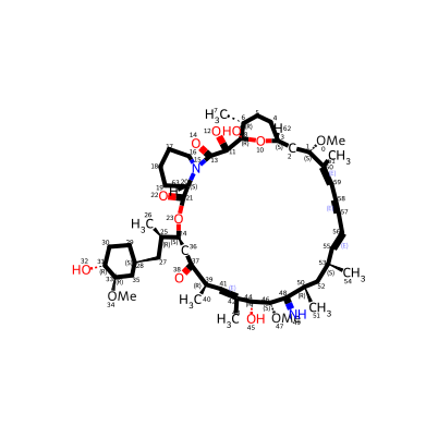 CO[C@H]1C[C@@H]2CC[C@@H](C)[C@@](O)(O2)C(=O)C(=O)N2CCCC[C@H]2C(=O)O[C@H]([C@H](C)C[C@@H]2CC[C@@H](O)[C@H](OC)C2)CC(=O)[C@H](C)/C=C(\C)[C@@H](O)[C@@H](OC)C(=N)[C@H](C)C[C@H](C)/C=C/C=C/C=C/1C